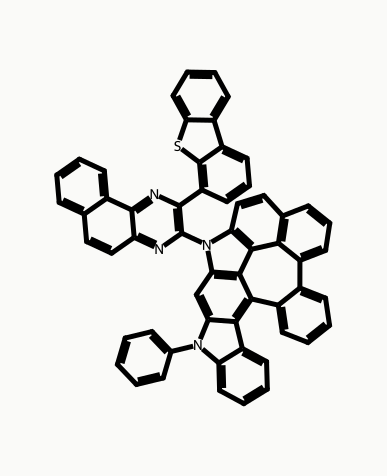 c1ccc(-n2c3ccccc3c3c4c5c6c7c(cccc7ccc6n(-c6nc7ccc8ccccc8c7nc6-c6cccc7c6sc6ccccc67)c5cc32)-c2ccccc2-4)cc1